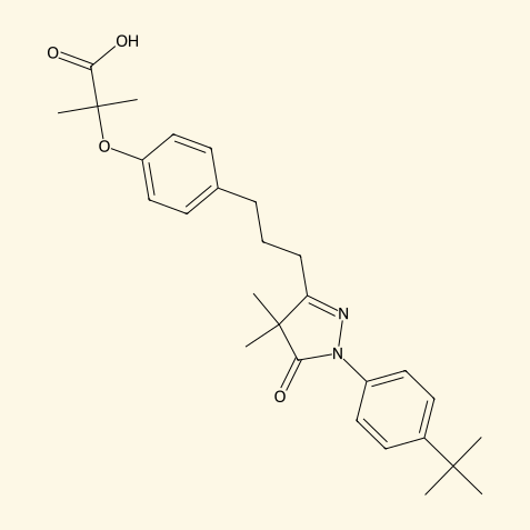 CC(C)(Oc1ccc(CCCC2=NN(c3ccc(C(C)(C)C)cc3)C(=O)C2(C)C)cc1)C(=O)O